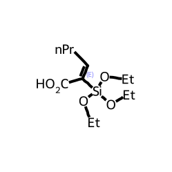 CCC/C=C(\C(=O)O)[Si](OCC)(OCC)OCC